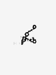 COc1ccccc1CC(=O)OCC1=C(c2ccc(CCCOc3ccccc3)cc2)C[C@@H]2CN(C(C)=O)C[C@H]1N2